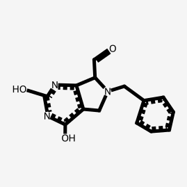 O=CC1c2nc(O)nc(O)c2CN1Cc1ccccc1